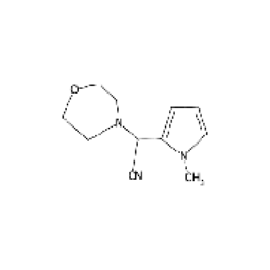 Cn1cccc1C(C#N)N1CCOCC1